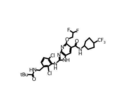 CC(C)(C)C(=O)NCc1ccc(Cl)c(Nc2nc3nc(OCC(F)F)c(C(=O)NC4CCC(C(F)(F)F)CC4)cc3[nH]2)c1Cl